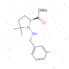 COC(=O)[C@@H]1CCC(C)(C)N1NCc1cccc(F)c1